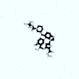 COC(=O)c1sc(-n2cnc3ccc(C[C@@H]4CCCN(C(=O)OC(C)(C)C)C4)cc32)cc1O[C@H](C)c1ccccc1Cl